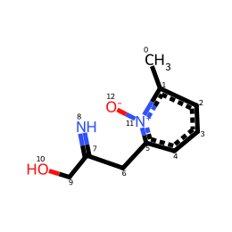 Cc1cccc(CC(=N)CO)[n+]1[O-]